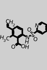 C=Cc1ccc(NS(=O)(=O)c2ccccn2)c(C(=O)O)c1C